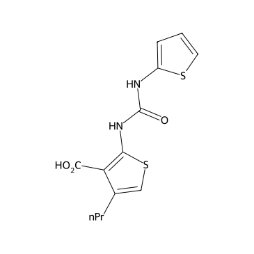 CCCc1csc(NC(=O)Nc2cccs2)c1C(=O)O